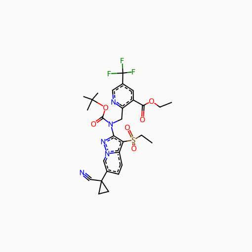 CCOC(=O)c1cc(C(F)(F)F)cnc1CN(C(=O)OC(C)(C)C)c1nn2cc(C3(C#N)CC3)ccc2c1S(=O)(=O)CC